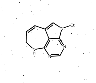 CCn1cc2c3c(ncnc31)NCC=C2